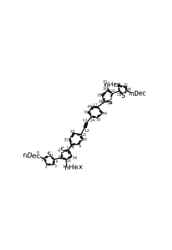 CCCCCCCCCCc1ccc(-c2sc(-c3ccc(C#Cc4ccc(-c5cc(CCCCCC)c(-c6ccc(CCCCCCCCCC)s6)s5)cc4)cc3)cc2CCCCCC)s1